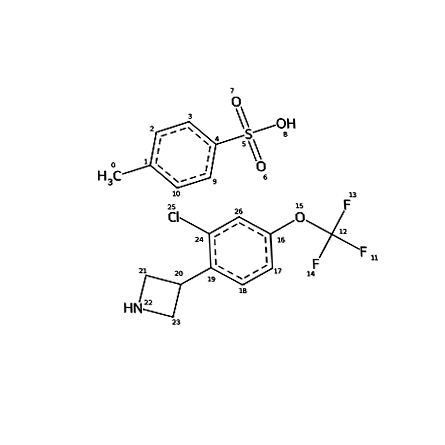 Cc1ccc(S(=O)(=O)O)cc1.FC(F)(F)Oc1ccc(C2CNC2)c(Cl)c1